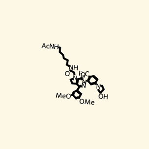 COc1cc(OC)cc(-c2nn(-c3cc(N4CCC(O)C4)ccc3C(F)(F)F)c(=O)c3c2CCN3CC(=O)NCCCCCCNC(C)=O)c1